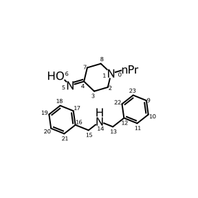 CCCN1CCC(=NO)CC1.c1ccc(CNCc2ccccc2)cc1